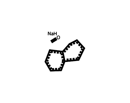 C=O.[NaH].c1ccc2ccccc2c1